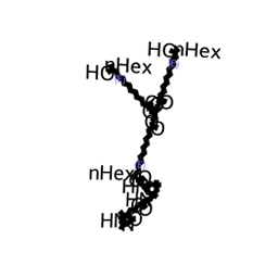 CCCCCCC(O)C/C=C/CCCCCCCC(=O)OCC(COC(=O)CCCCCCC/C=C/CC(CCCCCC)OC(=O)NC1CC(C)(C)CC(C)(CNC(=O)OCCc2c(C)[nH]c(C)nc2=O)C1)OC(=O)CCCCCCC/C=C/CC(O)CCCCCC